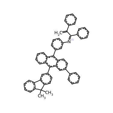 C=C(/C(=N\c1cccc(-c2c3ccccc3c(-c3ccc4c(c3)-c3ccccc3C4(C)C)c3cc(-c4ccccc4)ccc23)c1)c1ccccc1)c1ccccc1